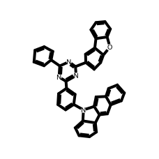 c1ccc(-c2nc(-c3cccc(-n4c5ccccc5c5cc6ccccc6cc54)c3)nc(-c3ccc4oc5ccccc5c4c3)n2)cc1